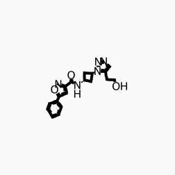 O=C(N[C@H]1C[C@H](n2nncc2CCO)C1)c1cc(-c2ccccc2)on1